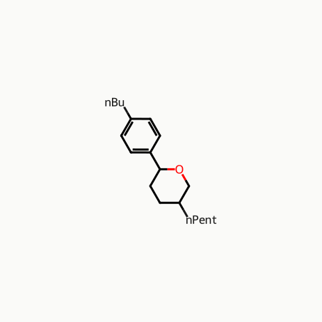 CCCCCC1CCC(c2ccc(CCCC)cc2)OC1